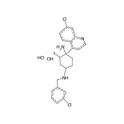 Cl.Cl.NC1(c2ccnc3cc(Cl)ccc23)CCC(NCc2cccc(Cl)c2)CC1I